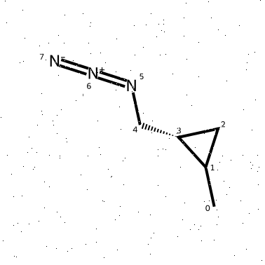 CC1C[C@H]1CN=[N+]=[N-]